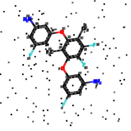 Nc1cc(F)cc(Oc2c(F)c(F)c(C(F)(F)F)c(Oc3cc(N)cc(F)c3)c2C(F)(F)F)c1